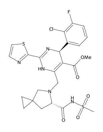 COC(=O)C1=C(CN2CC3(CC3)C[C@H]2C(=O)NS(C)(=O)=O)NC(c2nccs2)=N[C@H]1c1cccc(F)c1Cl